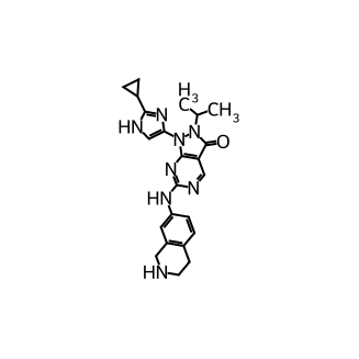 CC(C)n1c(=O)c2cnc(Nc3ccc4c(c3)CNCC4)nc2n1-c1c[nH]c(C2CC2)n1